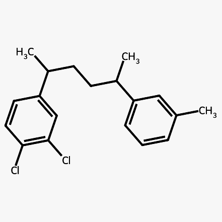 Cc1cccc(C(C)CCC(C)c2ccc(Cl)c(Cl)c2)c1